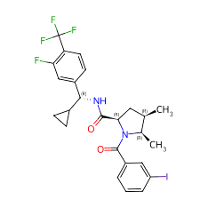 C[C@@H]1C[C@H](C(=O)N[C@@H](c2ccc(C(F)(F)F)c(F)c2)C2CC2)N(C(=O)c2cccc(I)c2)[C@@H]1C